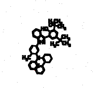 CC1C=CC(n2nc(-c3cc(C(C)(C)C)cc(C(C)(C)C)c3O)c3ccccc32)=CC1N(C1=C(c2ccccc2)CCC=C1)c1ccccn1